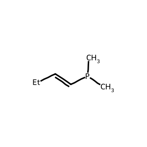 CCC=CP(C)C